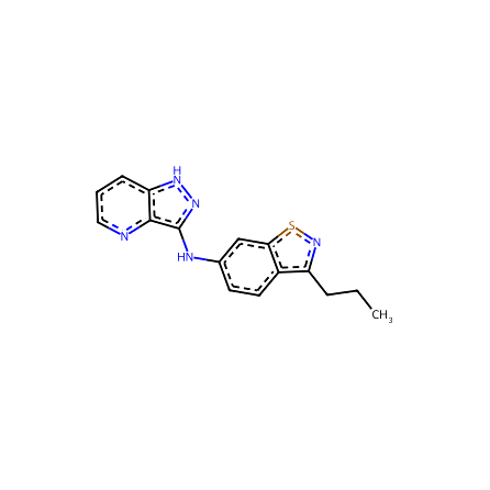 CCCc1nsc2cc(Nc3n[nH]c4cccnc34)ccc12